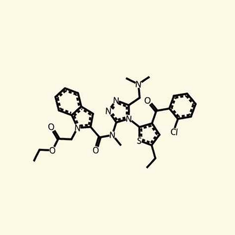 CCOC(=O)Cn1c(C(=O)N(C)c2nnc(CN(C)C)n2-c2sc(CC)cc2C(=O)c2ccccc2Cl)cc2ccccc21